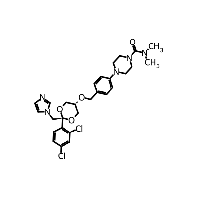 CN(C)C(=O)N1CCN(c2ccc(CO[C@H]3CO[C@@](Cn4ccnc4)(c4ccc(Cl)cc4Cl)OC3)cc2)CC1